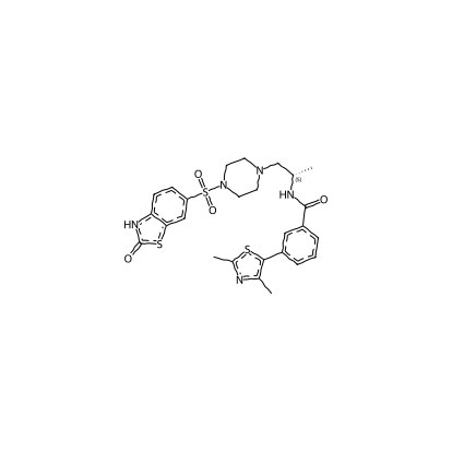 Cc1nc(C)c(-c2cccc(C(=O)N[C@@H](C)CN3CCN(S(=O)(=O)c4ccc5[nH]c(=O)sc5c4)CC3)c2)s1